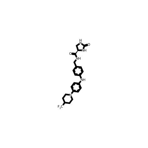 O=C1NC[C@H](C(=O)NCc2ccc(Nc3ccc(N4CCC(C(F)(F)F)CC4)cc3)cc2)N1